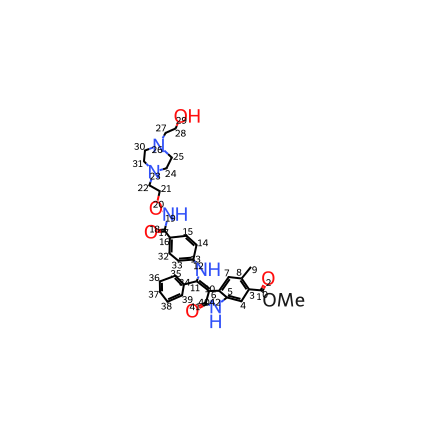 COC(=O)c1cc2c(cc1C)C(=C(Nc1ccc(C(=O)NOCCN3CCN(CCO)CC3)cc1)c1ccccc1)C(=O)N2